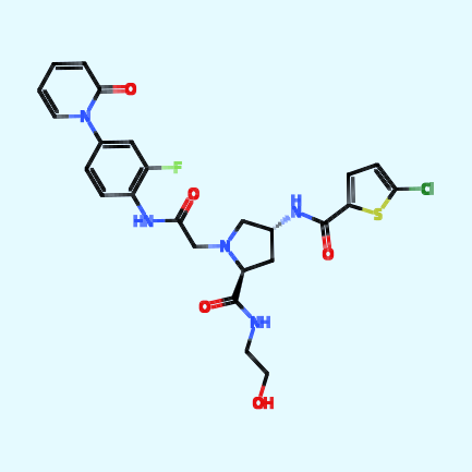 O=C(CN1C[C@H](NC(=O)c2ccc(Cl)s2)C[C@H]1C(=O)NCCO)Nc1ccc(-n2ccccc2=O)cc1F